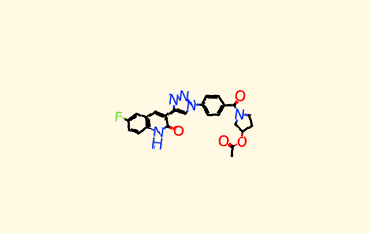 CC(=O)O[C@@H]1CCN(C(=O)c2ccc(-n3cc(-c4cc5cc(F)ccc5[nH]c4=O)nn3)cc2)C1